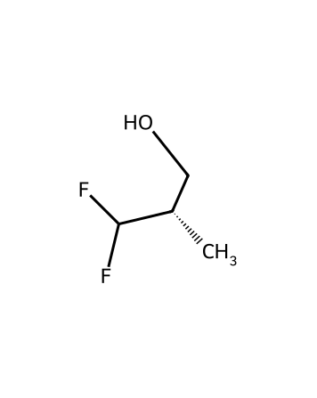 C[C@@H](CO)C(F)F